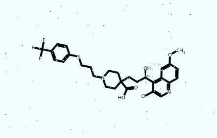 COc1ccc2ncc(Cl)c([C@H](O)CCC3(C(=O)O)CCN(CCCSc4ccc(C(F)(F)F)cc4)CC3)c2c1